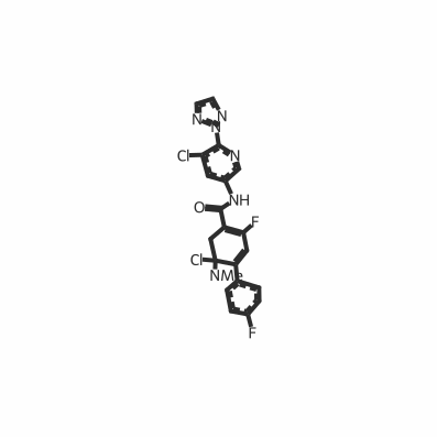 CNC1(Cl)CC(C(=O)Nc2cnc(-n3nccn3)c(Cl)c2)=C(F)C=C1c1ccc(F)cc1